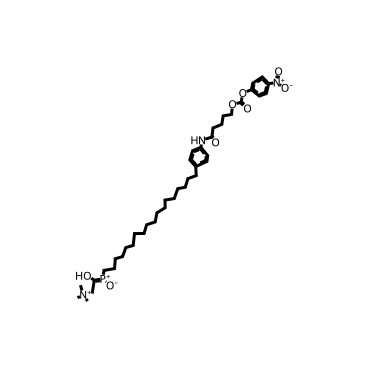 C[N+](C)(C)C/C(O)=[P+](\[O-])CCCCCCCCCCCCCCCCCCc1ccc(NC(=O)CCCCOC(=O)Oc2ccc([N+](=O)[O-])cc2)cc1